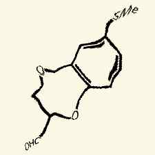 CSc1ccc2c(c1)OCC(C=O)O2